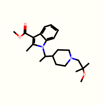 COC(=O)c1c(C)n(C(C)C2CCN(CC(C)(C)OC)CC2)c2ccccc12